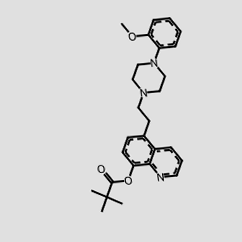 COc1ccccc1N1CCN(CCc2ccc(OC(=O)C(C)(C)C)c3ncccc23)CC1